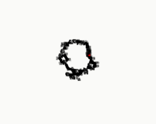 NC(=O)c1ccc2cc1CN1CCN(CCNCCCNc3ncc(cn3)-c3ccnc(c3)N2)CC1